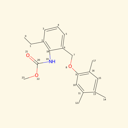 CCc1cccc(COc2cc(C)c(C)cc2C)c1NC(=O)OC